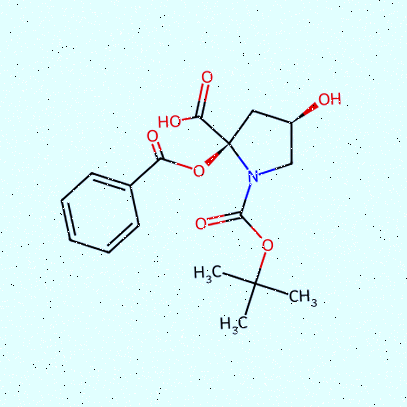 CC(C)(C)OC(=O)N1C[C@H](O)C[C@@]1(OC(=O)c1ccccc1)C(=O)O